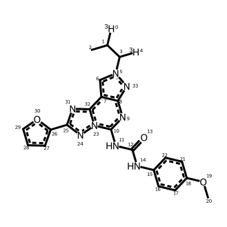 [3H]C(C)C([3H])n1cc2c(nc(NC(=O)Nc3ccc(OC)cc3)n3nc(-c4ccco4)nc23)n1